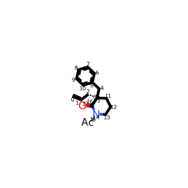 C=CC[C@]1(Cc2ccccc2)CCCN(C(C)=O)C1=O